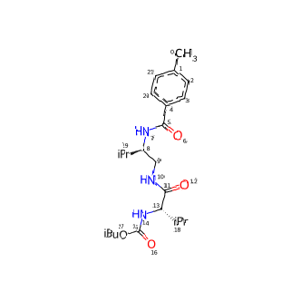 Cc1ccc(C(=O)N[C@@H](CNC(=O)[C@@H](NC(=O)OCC(C)C)C(C)C)C(C)C)cc1